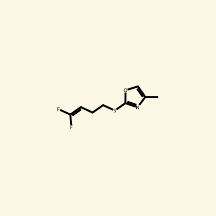 Cc1coc(SCCC=C(F)F)n1